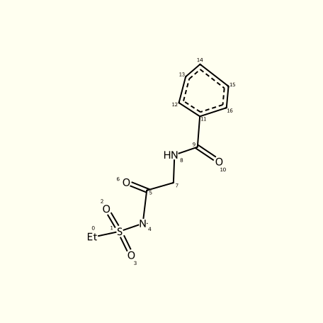 CCS(=O)(=O)[N]C(=O)CNC(=O)c1ccccc1